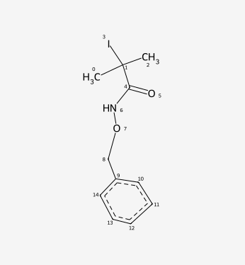 CC(C)(I)C(=O)NOCc1ccccc1